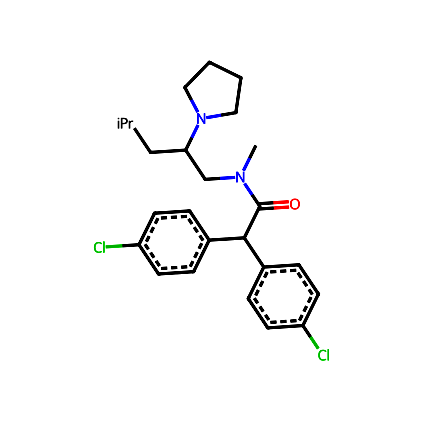 CC(C)CC(CN(C)C(=O)C(c1ccc(Cl)cc1)c1ccc(Cl)cc1)N1CCCC1